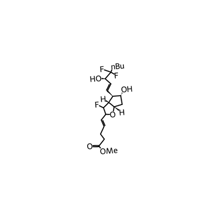 CCCCC(F)(F)[C@H](O)/C=C/[C@@H]1[C@H]2C(F)C(/C=C/CCC(=O)OC)O[C@H]2C[C@H]1O